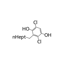 CCCCCCCCc1c(O)c(Cl)cc(O)c1Cl